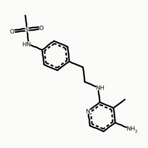 Cc1c(N)ccnc1NCCc1ccc(NS(C)(=O)=O)cc1